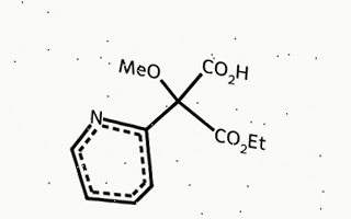 CCOC(=O)C(OC)(C(=O)O)c1ccccn1